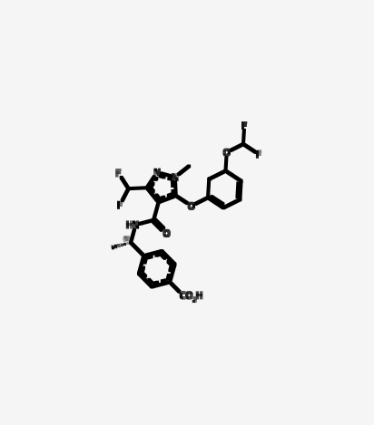 C[C@H](NC(=O)c1c(C(F)F)nn(C)c1OC1=CC=CC(OC(F)F)C1)c1ccc(C(=O)O)cc1